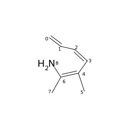 C=C/C=C\C(C)=C(C)N